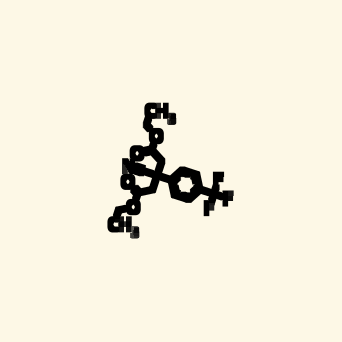 CCOC(=O)CC(C#N)(CC(=O)OCC)c1ccc(C(F)(F)F)cc1